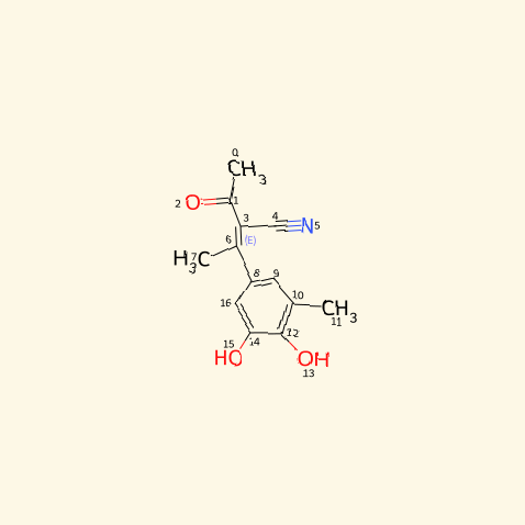 CC(=O)/C(C#N)=C(\C)c1cc(C)c(O)c(O)c1